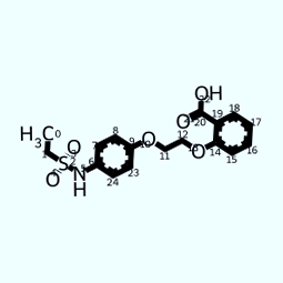 CCS(=O)(=O)Nc1ccc(OCCOc2ccccc2C(=O)O)cc1